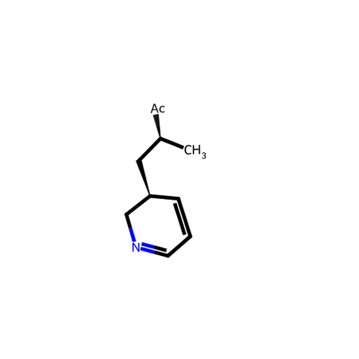 CC(=O)[C@@H](C)C[C@H]1C=CC=NC1